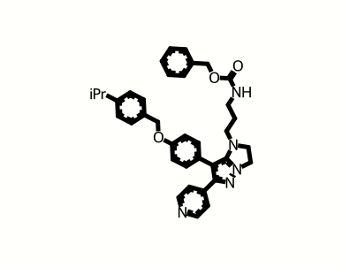 CC(C)c1ccc(COc2ccc(-c3c(-c4ccncc4)nn4c3N(CCCNC(=O)OCc3ccccc3)CC4)cc2)cc1